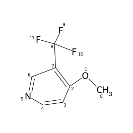 COc1ccn[c]c1C(F)(F)F